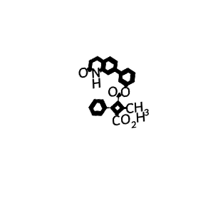 C[C@H]1C(C(=O)O)[C@H](c2ccccc2)[C@@H]1C(=O)Oc1cccc(-c2ccc3c(c2)NC(=O)CC3)c1